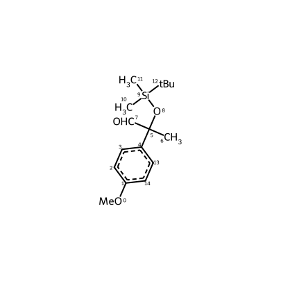 COc1ccc(C(C)(C=O)O[Si](C)(C)C(C)(C)C)cc1